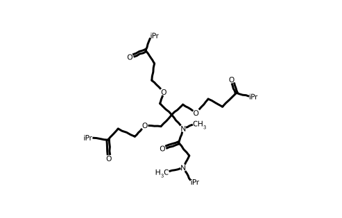 CC(C)C(=O)CCOCC(COCCC(=O)C(C)C)(COCCC(=O)C(C)C)N(C)C(=O)CN(C)C(C)C